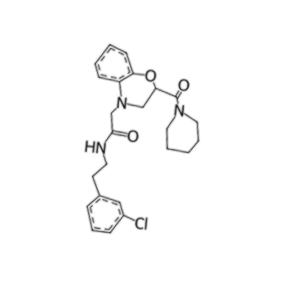 O=C(CN1CC(C(=O)N2CCCCC2)Oc2ccccc21)NCCc1cccc(Cl)c1